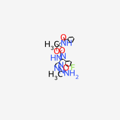 CN(C(N)=O)c1nccc(-c2[nH]c(C3OCC(C)(CNC(=O)c4ccccc4)CO3)nc2-c2ccc(F)cc2)n1